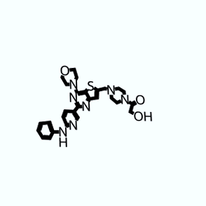 O=C(CO)N1CCN(Cc2cc3nc(-c4ccc(Nc5ccccc5)nc4)nc(N4CCOCC4)c3s2)CC1